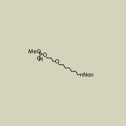 CCCCCCCCCCCCCCCCOCCCO[PH](=O)OC